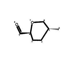 C[C@@H]1CC[C@@H](C=O)OC1